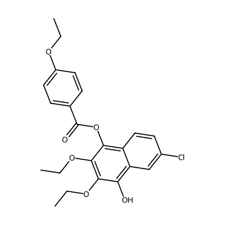 CCOc1ccc(C(=O)Oc2c(OCC)c(OCC)c(O)c3cc(Cl)ccc23)cc1